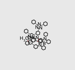 CC1(C)c2ccccc2-c2cc3c4ccccc4n(-c4ccc(-c5nc(-c6ccccc6)nc(-c6ccccc6)n5)cc4-c4cc(-c5ccccc5)nc(-c5cccc(-c6cccc(N7c8ccccc8B8c9ccccc9N(c9ccccc9)c9cccc7c98)c6)c5)n4)c3cc21